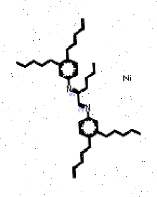 CCCCCc1ccc(/N=C/C(CCCC)=N/c2ccc(CCCCC)c(CCCCC)c2)cc1CCCCC.[Ni]